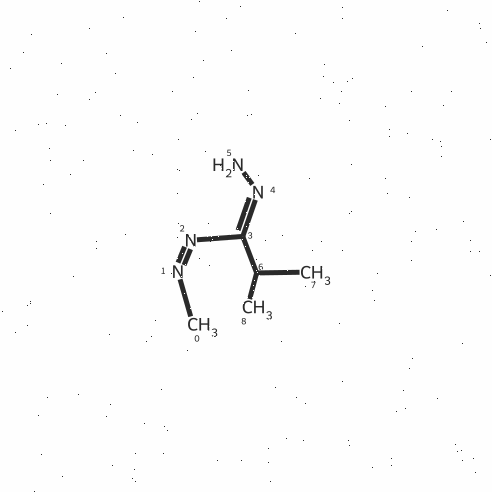 C/N=N\C(=N/N)C(C)C